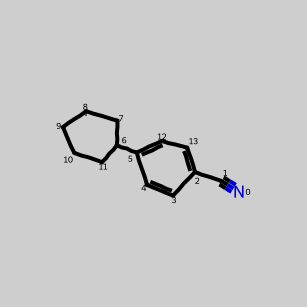 N#Cc1ccc(C2C[CH]CCC2)cc1